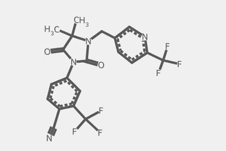 CC1(C)C(=O)N(c2ccc(C#N)c(C(F)(F)F)c2)C(=O)N1Cc1ccc(C(F)(F)F)nc1